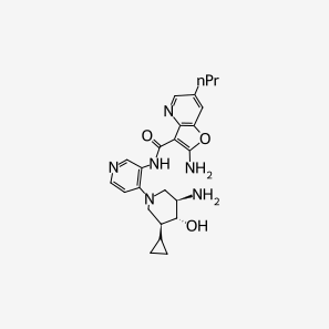 CCCc1cnc2c(C(=O)Nc3cnccc3N3C[C@@H](N)[C@H](O)[C@@H](C4CC4)C3)c(N)oc2c1